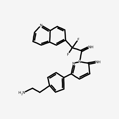 N=C(n1nc(-c2ccc(CCN)cc2)ccc1=N)C(F)(F)c1ccc2ncccc2c1